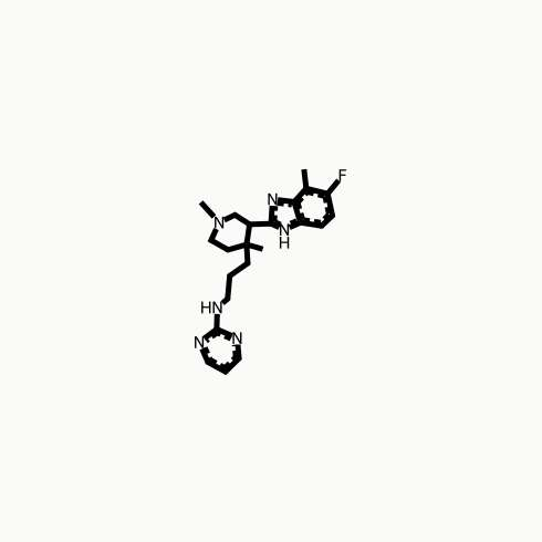 Cc1c(F)ccc2[nH]c(C3CN(C)CCC3(C)CCCNc3ncccn3)nc12